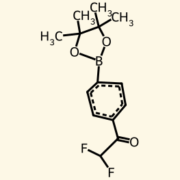 CC1(C)OB(c2ccc(C(=O)C(F)F)cc2)OC1(C)C